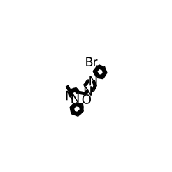 Cc1cc(C(=O)N2CCN(c3cccc(Br)c3)CC2)n(-c2ccccc2)n1